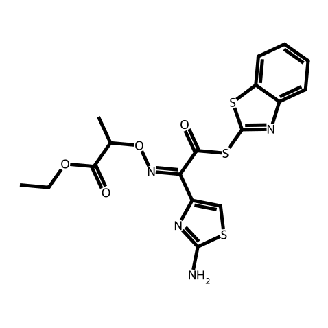 CCOC(=O)C(C)O/N=C(\C(=O)Sc1nc2ccccc2s1)c1csc(N)n1